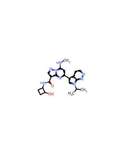 CNc1cc(-c2cn(C(C)C)c3nnccc23)nc2c(C(=O)NC3CCC3O)cnn12